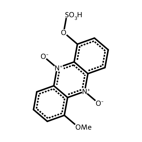 COc1cccc2c1[n+]([O-])c1cccc(OS(=O)(=O)O)c1[n+]2[O-]